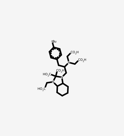 CC(C)(C)c1ccc(CC(CN2C3CCCCC3N(CC(=O)O)C2(C(=O)O)C(=O)O)N(CC(=O)O)CC(=O)O)cc1